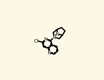 CN1C2CCC1CN(c1nc(Cl)cc3ncccc13)C2